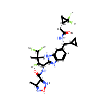 Cc1nonc1C(=O)N[C@@H](c1nc2ccc([C@H](NC(=O)C[C@@H]3CC3(F)F)C3CC3)cc2[nH]1)C(F)C(C)(C)C(F)F